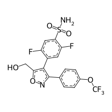 NS(=O)(=O)c1cc(F)c(-c2c(-c3ccc(OC(F)(F)F)cc3)noc2CO)cc1F